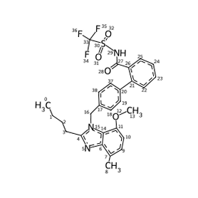 CCCCc1nc2c(C)ccc(OC)c2n1Cc1ccc(-c2ccccc2C(=O)NS(=O)(=O)C(F)(F)F)cc1